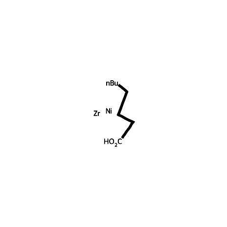 CCCCCCCC(=O)O.[Ni].[Zr]